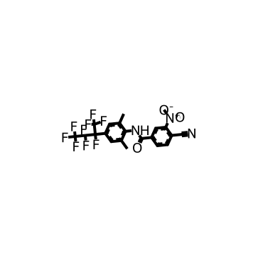 Cc1cc(C(F)(C(F)(F)F)C(F)(F)C(F)(F)F)cc(C)c1NC(=O)c1ccc(C#N)c([N+](=O)[O-])c1